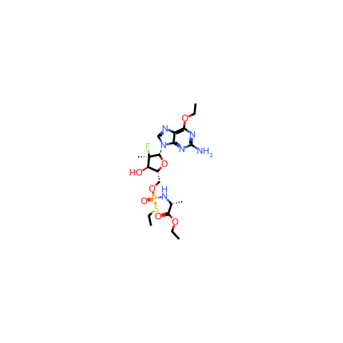 CCOC(=O)[C@@H](C)N[P@@](=O)(OC[C@H]1O[C@@H](n2cnc3c(OCC)nc(N)nc32)[C@](C)(F)[C@@H]1O)SCC